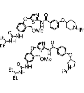 CCC(CC)NC(=O)Nc1ccc(Oc2cnc(NC(=O)c3ccc(OC4CCN(C(C)C)C4)cc3)s2)c(COC)c1.CCC(CC)NC(=O)Nc1ccc(Oc2cnc(NC(=O)c3cccc(OC4CCN(C(C)C)CC4)c3)s2)c(COC)c1